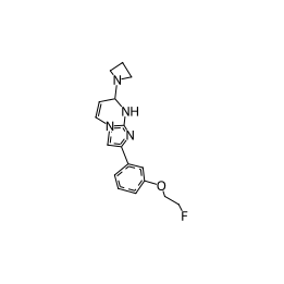 FCCOc1cccc(-c2cn3c(n2)NC(N2CCC2)C=C3)c1